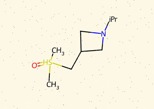 CC(C)N1CC(C[SH](C)(C)=O)C1